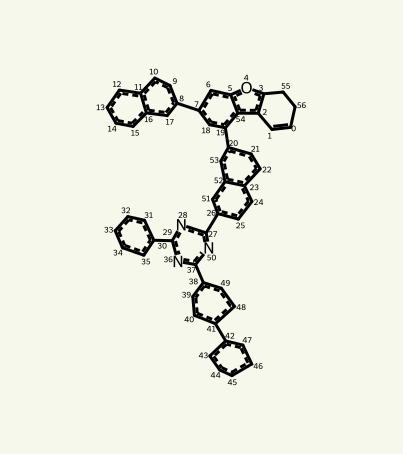 C1=Cc2c(oc3cc(-c4ccc5ccccc5c4)cc(-c4ccc5ccc(-c6nc(-c7ccccc7)nc(-c7ccc(-c8ccccc8)cc7)n6)cc5c4)c23)CC1